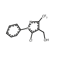 OCc1c(C(F)(F)F)nn(-c2ccccc2)c1Cl